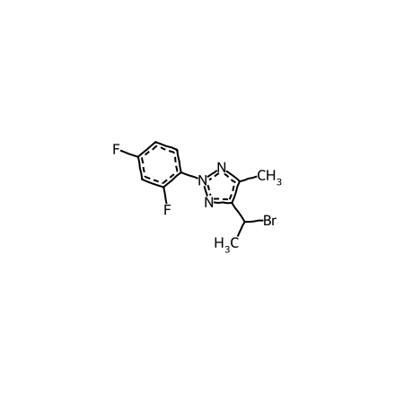 Cc1nn(-c2ccc(F)cc2F)nc1C(C)Br